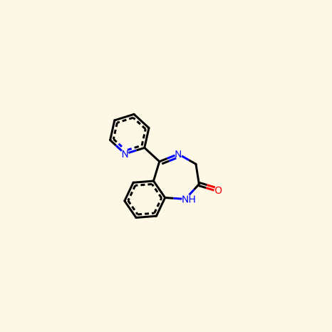 O=C1CN=C(c2ccccn2)c2ccccc2N1